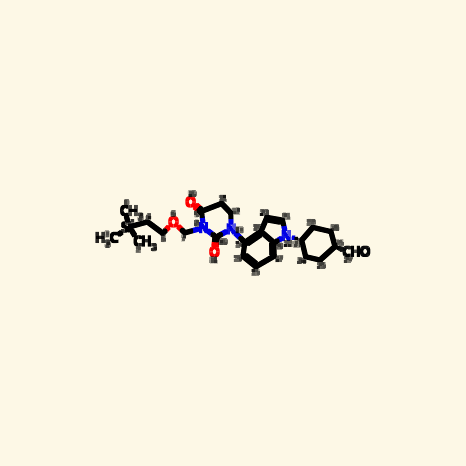 C[Si](C)(C)CCOCN1C(=O)CCN(c2cccc3c2ccn3[C@H]2CC[C@H](C=O)CC2)C1=O